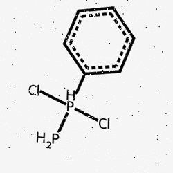 P[PH](Cl)(Cl)c1ccccc1